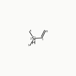 C=C[SiH](C)C